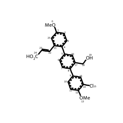 COc1ccc(-c2ccc(-c3ccc(OC)c(Cl)c3)c(CO)c2)c(/C=C/C(=O)O)c1